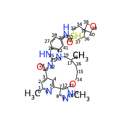 Cc1cc2cc(n1)-c1cnn(C)c1OCCCC(C)CN1/C(=N/C2=O)Nc2ccc(N[SH]3(=O)CCC4(CC3)COC4)cc21